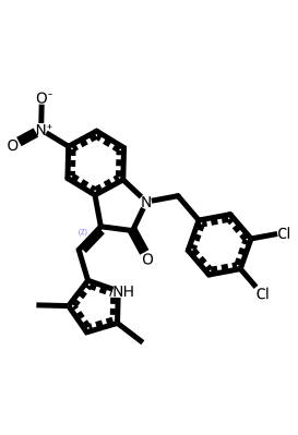 Cc1cc(C)c(/C=C2\C(=O)N(Cc3ccc(Cl)c(Cl)c3)c3ccc([N+](=O)[O-])cc32)[nH]1